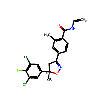 C=CNC(=O)c1ccc(C2=NO[C@@](c3cc(Cl)c(F)c(Cl)c3)(C(F)(F)F)C2)cc1C